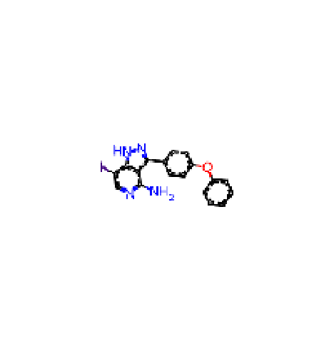 Nc1ncc(I)c2[nH]nc(-c3ccc(Oc4ccccc4)cc3)c12